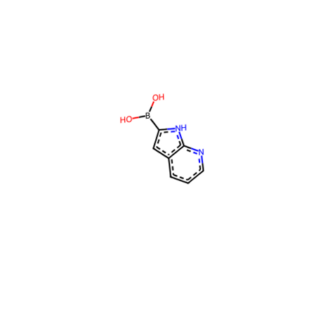 OB(O)c1cc2cccnc2[nH]1